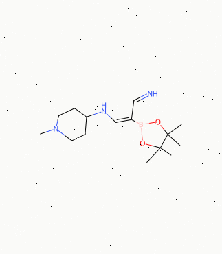 CN1CCC(N/C=C(\C=N)B2OC(C)(C)C(C)(C)O2)CC1